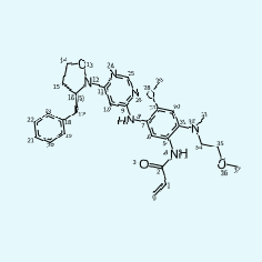 C=CC(=O)Nc1cc(Nc2cc(N3OCC[C@@H]3Cc3ccccc3)ncn2)c(OC)cc1N(C)CCOC